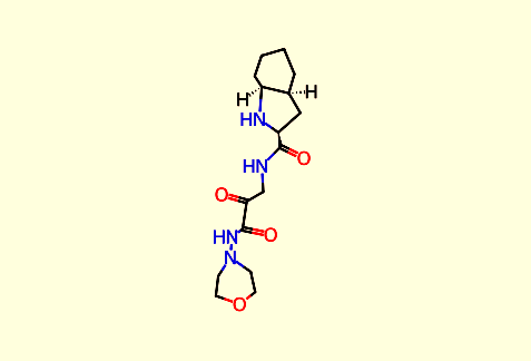 O=C(CNC(=O)[C@@H]1C[C@@H]2CCCC[C@@H]2N1)C(=O)NN1CCOCC1